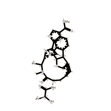 COC(=O)c1coc(-c2nc3oc2[C@@]24c5ccccc5NC2Oc2ccc(cc24)C[C@H](NC(=O)[C@@H](O)C(C)C)C(=O)N(C)C3C(C)C)n1